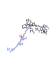 CN1/C(=C/C=C/C=C/C=C/C2(C)N(CCCCCC(=O)NCCCNCCCCN)c3ccccc3C2(C)C)C(C)(C)c2ccccc21